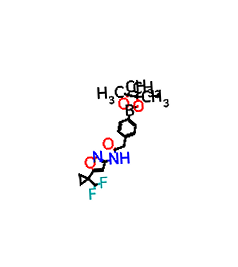 CC1(C)OB(c2ccc(CC(=O)Nc3cc(C4(C(F)F)CC4)on3)cc2)OC1(C)C